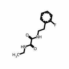 CCNC(=O)C(=O)NCCc1ccccc1F